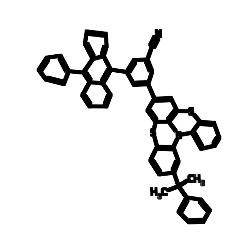 CC(C)(c1ccccc1)c1ccc2c(c1)B1c3ccccc3Sc3cc(-c4cc(C#N)cc(-c5c6ccccc6c(-c6ccccc6)c6ccccc56)c4)cc(c31)S2